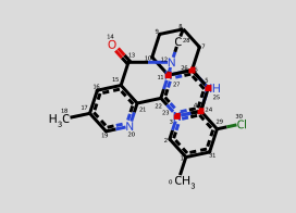 Cc1cnc(NC2CC3CCC2N(C(=O)c2cc(C)cnc2-c2ncccn2)C3)c(Cl)c1